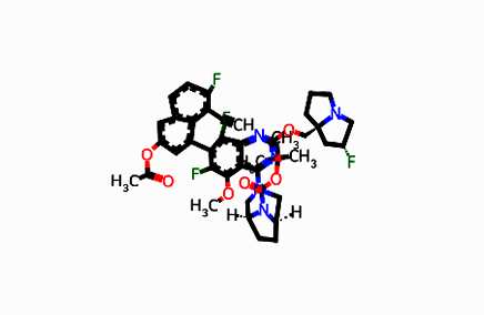 C#Cc1c(F)ccc2cc(OC(C)=O)cc(-c3c(F)c(OC)c4c(N5C[C@H]6CC[C@@H](C5)N6C(=O)OC(C)(C)C)nc(OC[C@@]56CCCN5C[C@H](F)C6)nc4c3F)c12